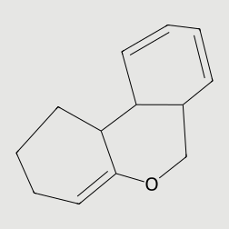 C1=CC2COC3=CCCCC3C2C=C1